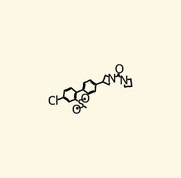 CS(=O)(=O)c1cc(Cl)ccc1-c1ccc(C2CN(C(=O)N3CCC3)C2)cc1